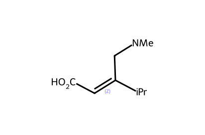 CNC/C(=C\C(=O)O)C(C)C